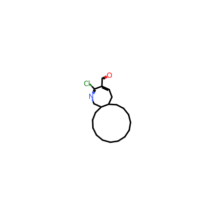 O=CC1=C/CC2CCCCCCCCCCCCCC2C/N=C\1Cl